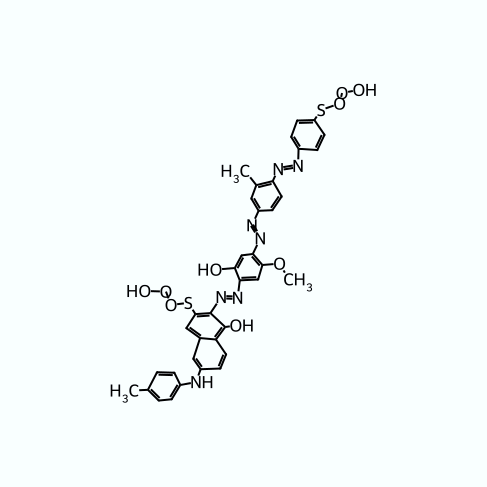 COc1cc(N=Nc2c(SOOO)cc3cc(Nc4ccc(C)cc4)ccc3c2O)c(O)cc1N=Nc1ccc(N=Nc2ccc(SOOO)cc2)c(C)c1